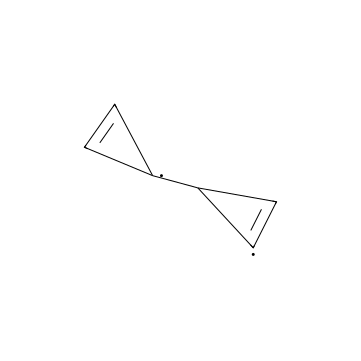 [C]1=CC1[C]1C=C1